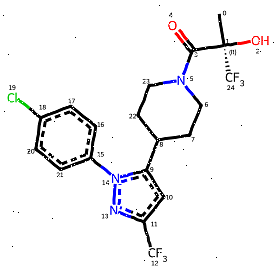 C[C@@](O)(C(=O)N1CCC(c2cc(C(F)(F)F)nn2-c2ccc(Cl)cc2)CC1)C(F)(F)F